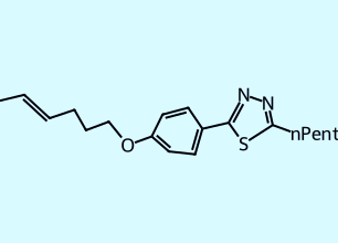 C/C=C/CCCOc1ccc(-c2nnc(CCCCC)s2)cc1